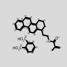 C=C(C)C(=O)OCCC1CCCc2c1ccc1c2ccc2ccccc21.O=C(O)c1ccccc1C(=O)O